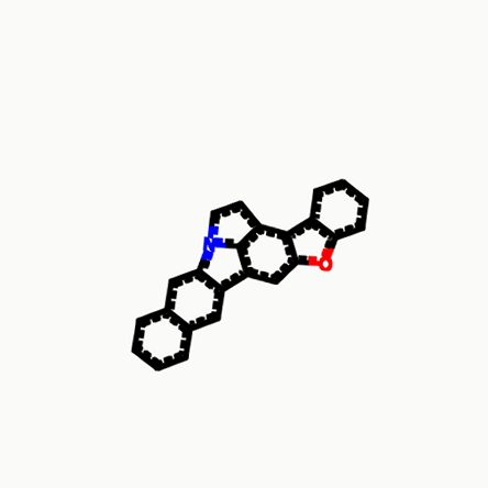 c1ccc2cc3c(cc2c1)c1cc2oc4ccccc4c2c2ccn3c12